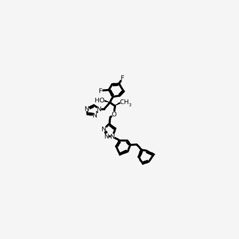 C[C@@H](OCc1cn(-c2cccc(Cc3ccccc3)c2)nn1)[C@](O)(Cn1cncn1)c1ccc(F)cc1F